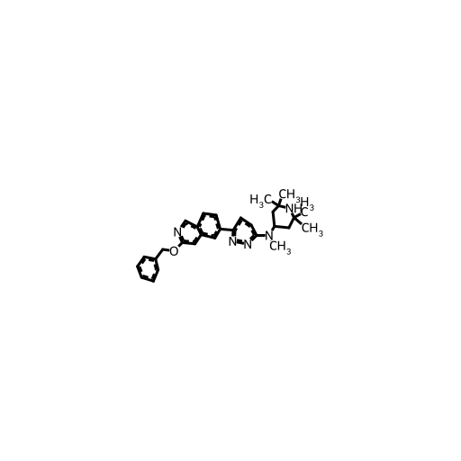 CN(c1ccc(-c2ccc3cnc(OCc4ccccc4)cc3c2)nn1)C1CC(C)(C)NC(C)(C)C1